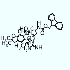 Cc1c(C)c(S(=O)(=O)N(CCC[C@@H](NC(=O)OCC2c3ccccc3-c3ccccc32)C(=O)O)C(=N)N)c(C)c2c1OC(C)(C)C2